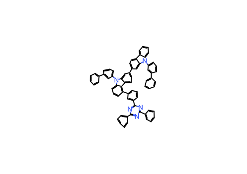 c1ccc(-c2cccc(-n3c4ccccc4c4ccc(-c5ccc6c7c(-c8cccc(-c9nc(-c%10ccccc%10)nc(-c%10ccccc%10)n9)c8)cccc7n(-c7cccc(-c8ccccc8)c7)c6c5)cc43)c2)cc1